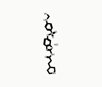 CC(C)CNc1ccc(S(=O)(=O)Oc2ccc3nc(NC(=O)CCC4CCNCC4)sc3c2)cc1.Cl